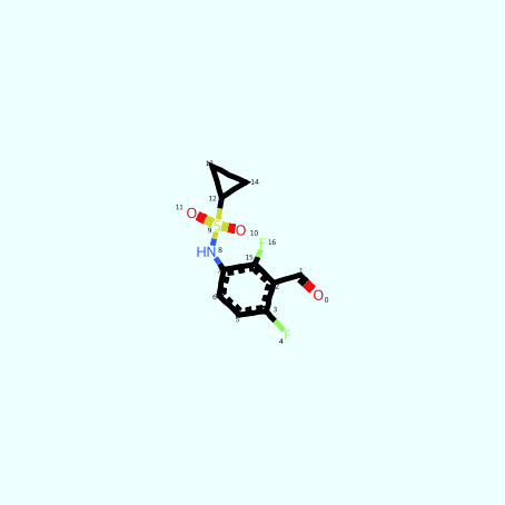 O=Cc1c(F)ccc(NS(=O)(=O)C2CC2)c1F